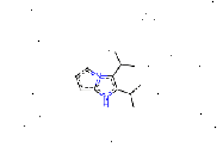 CC(C)c1[nH]c2cccn2c1C(C)C